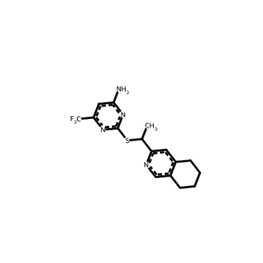 CC(Sc1nc(N)cc(C(F)(F)F)n1)c1cc2c(cn1)CCCC2